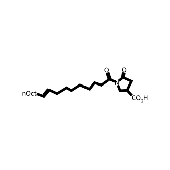 CCCCCCCCC=CCCCCCCCC(=O)N1CC(C(=O)O)CC1=O